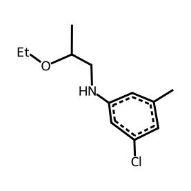 CCOC(C)CNc1cc(C)cc(Cl)c1